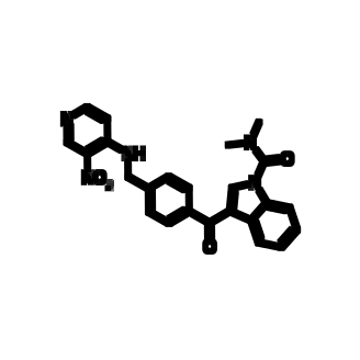 CN(C)C(=O)n1cc(C(=O)c2ccc(CNc3ccncc3[N+](=O)[O-])cc2)c2ccccc21